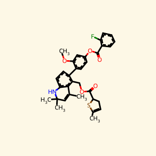 COc1cc(OC(=O)c2ccccc2F)ccc1-c1ccc2c(c1COC(=O)C1CC=C(C)S1)C(C)=CC(C)(C)N2